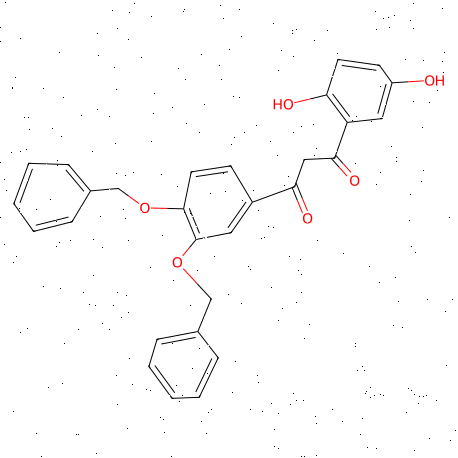 O=C(CC(=O)c1cc(O)ccc1O)c1ccc(OCc2ccccc2)c(OCc2ccccc2)c1